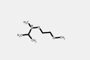 COCCO[SiH](C)C(C)C